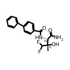 C[C@@](O)(C(F)F)[C@H](NC(=O)c1ccc(-c2ccccc2)cc1)C(N)=O